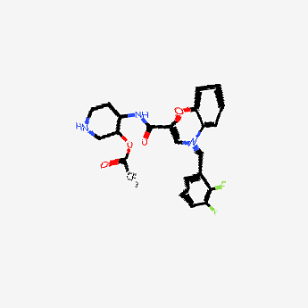 O=C(NC1CCNCC1OC(=O)C(F)(F)F)C1=CN(Cc2cccc(F)c2F)c2ccccc2O1